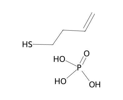 C=CCCS.O=P(O)(O)O